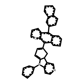 C1=C(c2c3ccccc3c(-c3ccc4ccccc4c3)c3ccccc23)CC2C(=C1)N(c1ccccc1)c1ccncc12